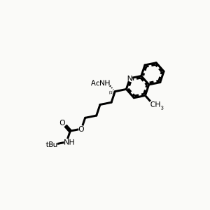 CC(=O)N[C@@H](CCCCOC(=O)NC(C)(C)C)c1cc(C)c2ccccc2n1